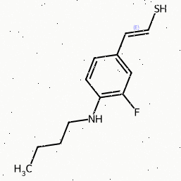 CCCCNc1ccc(/C=C/S)cc1F